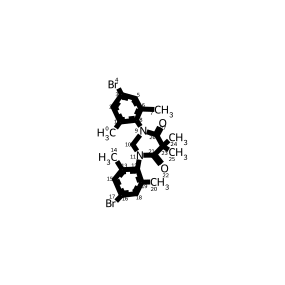 Cc1cc(Br)cc(C)c1N1CN(c2c(C)cc(Br)cc2C)C(=O)C(C)(C)C1=O